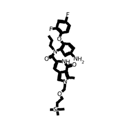 CCCN(C(=O)c1cc2cn(COCC[Si](C)(C)C)c(C)c2c(=O)[nH]1)c1cc(N)ccc1Oc1ccc(F)cc1F